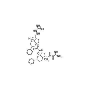 C[C@]12CC[C@H](c3ccccc3)C[C@@]1(OC(=O)C(=O)O[C@]13CC[C@H](CNNC(=N)N)[C@@]1(C)CC[C@H](c1ccccc1)C3)CC[C@@H]2CNNC(=N)N